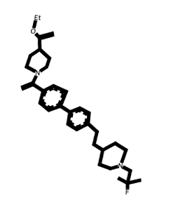 C=C(OCC)C1CCN(C(=C)c2ccc(-c3ccc(CCC4CCN(CC(C)(C)F)CC4)cc3)cc2)CC1